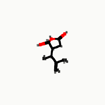 C=C(C)C(CC)C1CC(=O)OC1=O